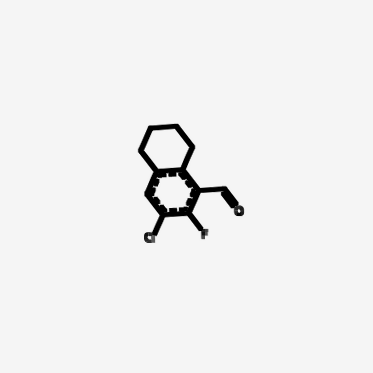 O=Cc1c(F)c(Cl)cc2c1CCCC2